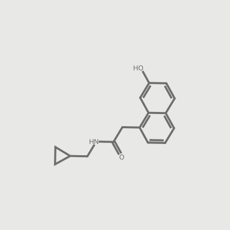 O=C(Cc1cccc2ccc(O)cc12)NCC1CC1